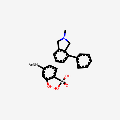 CC(=O)Nc1ccc([As](=O)(O)O)c(O)c1.CN1Cc2cccc(-c3ccccc3)c2C1